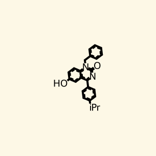 CC(C)c1ccc(-c2nc(=O)n(Cc3ccccc3)c3ccc(O)cc23)cc1